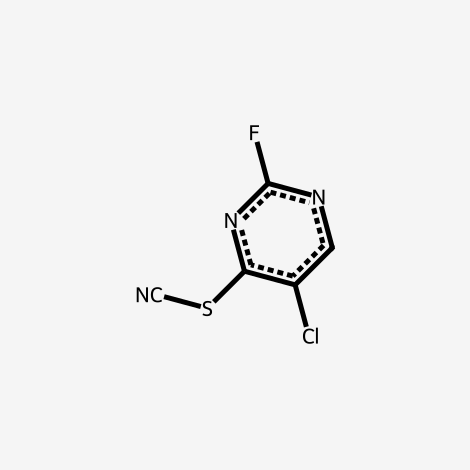 N#CSc1nc(F)ncc1Cl